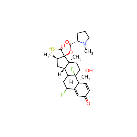 C[C@@H]1C[C@H]2[C@@H]3C[C@H](F)C4=CC(=O)C=C[C@]4(C)[C@@]3(F)[C@@H](O)C[C@]2(C)[C@@]1(OC(=O)[C@@H]1CCCN1C)C(=O)S